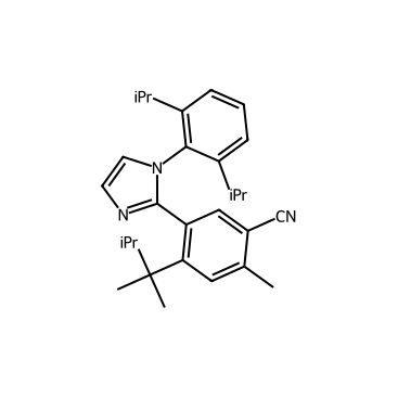 Cc1cc(C(C)(C)C(C)C)c(-c2nccn2-c2c(C(C)C)cccc2C(C)C)cc1C#N